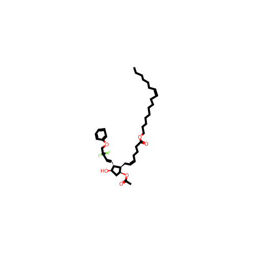 CCCCCC/C=C\CCCCCCCCOC(=O)CCC/C=C\C[C@@H]1[C@@H](/C=C/C(F)(F)COc2ccccc2)[C@H](O)C[C@@H]1OC(C)=O